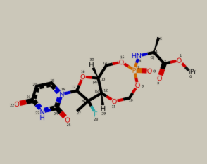 CC(C)OC(=O)[C@H](C)NP1(=O)OCO[C@H]2[C@@H](CO1)OC(n1ccc(=O)[nH]c1=O)C2(C)F